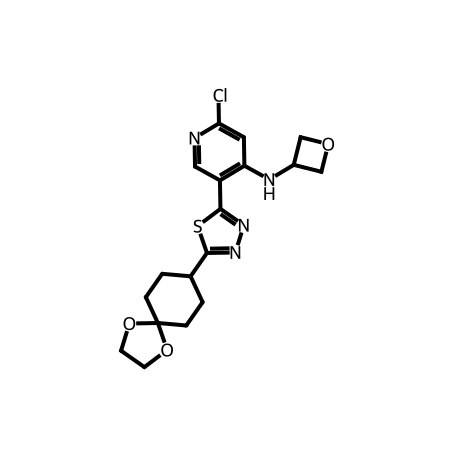 Clc1cc(NC2COC2)c(-c2nnc(C3CCC4(CC3)OCCO4)s2)cn1